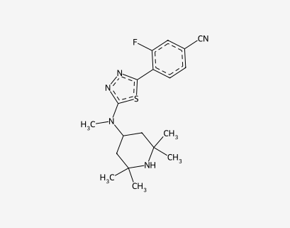 CN(c1nnc(-c2ccc(C#N)cc2F)s1)C1CC(C)(C)NC(C)(C)C1